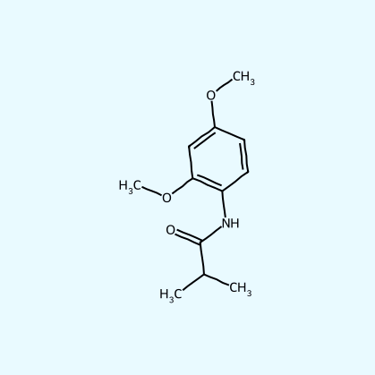 COc1ccc(NC(=O)C(C)C)c(OC)c1